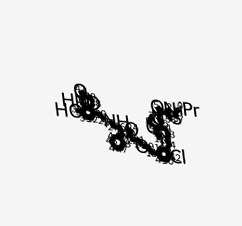 CC(C)c1nc(C(=O)N2CCOC3(CCN(Cc4cc(CCOCCC(=O)N(CCNCCc5ccc(O)c6c5OCC(=O)N6)C5CCCCC5)ccc4Cl)CC3)C2)cs1